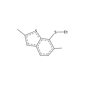 CCSc1c(C)ccc2cc(C)sc12